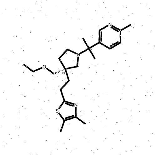 CCOC[C@]1(CCc2nc(C)c(C)s2)CCN(C(C)(C)c2ccc(C)nc2)C1